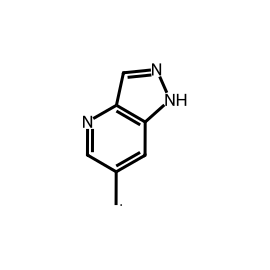 [CH2]c1cnc2cn[nH]c2c1